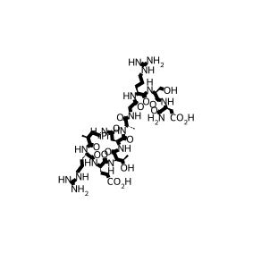 CC(C)C[C@H](C)C(=O)N[C@@H](CCCNC(=N)N)C(=O)N[C@@H](CCC(=O)O)C(=O)N[C@H](C(=O)N[C@@H](CC(N)=O)C(=O)N[C@@H](C)C(=O)NCC(=O)N[C@@H](CCCNC(=N)N)C(=O)N[C@@H](CO)C(=O)N[C@@H](CC(=O)O)C(N)=O)[C@@H](C)O